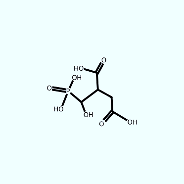 O=C(O)CC(C(=O)O)C(O)P(=O)(O)O